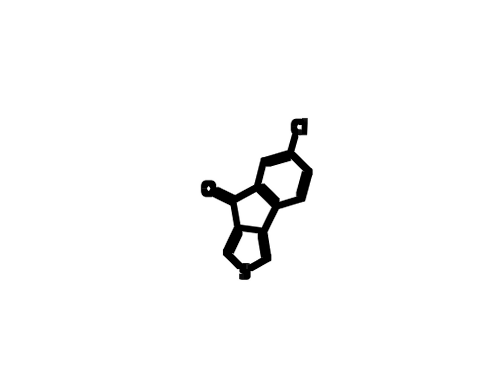 O=C1c2cc(Cl)ccc2-c2cscc21